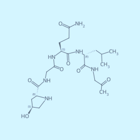 CC(=O)CNC(=O)[C@@H](CC(C)C)NC(=O)[C@H](CCC(N)=O)NC(=O)CNC(=O)[C@H]1C[C@H](O)CN1